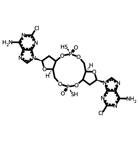 Nc1nc(Cl)nc2c1ncn2[C@H]1CC2O[P@](=O)(S)OC[C@H]3O[C@@H](n4cnc5c(N)nc(Cl)nc54)CC3O[P@](=O)(S)OC[C@H]2O1